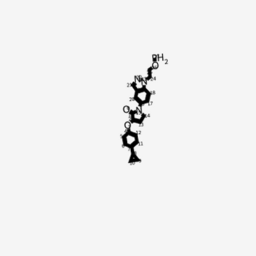 O=C1C(Oc2ccc(C3CC3)cc2)=CCN1c1ccc2c(cnn2CCOP)c1